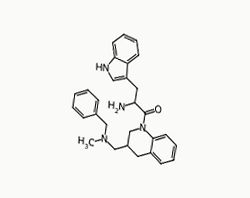 CN(Cc1ccccc1)CC1Cc2ccccc2N(C(=O)C(N)Cc2c[nH]c3ccccc23)C1